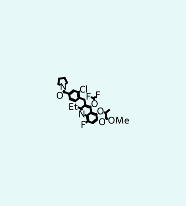 CCc1nc2c(F)ccc(OC(C)C(=O)OC)c2c(OC(F)F)c1Cc1ccc(C(=O)N2CCCC2)cc1Cl